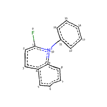 Fc1ccc2ccccc2[n+]1-c1ccccc1